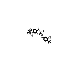 C[C@@H](NC(=O)COc1ccc(C(C)(C)C)c(Cl)c1)c1ccc(NS(C)(=O)=O)cc1